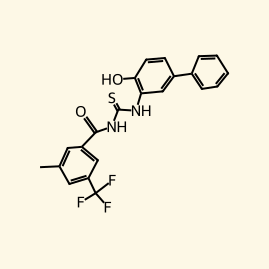 Cc1cc(C(=O)NC(=S)Nc2cc(-c3ccccc3)ccc2O)cc(C(F)(F)F)c1